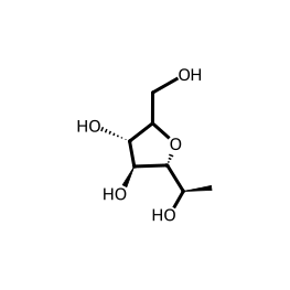 C[C@@H](O)[C@H]1OC(CO)[C@@H](O)[C@@H]1O